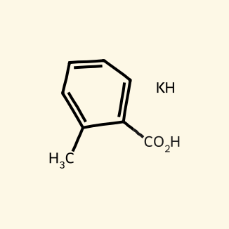 Cc1ccccc1C(=O)O.[KH]